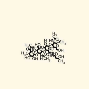 C=[N+]([O-])C(=O)C1O[C@@H](OC2C(NC(C)=O)[C@H](O[C@@H]3C(C(=O)NNC(=O)CC(C)O)O[C@@H](OC4C(NC(C)=O)[C@H](OC)OC(CO)[C@H]4O)C(O)C3O)OC(CO)[C@H]2O)C(O)C(O)[C@@H]1C